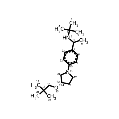 CC(NC(C)(C)C)c1ccc(N2CC[C@H](OCC(C)(C)C)C2)cc1